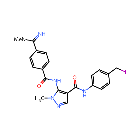 CNC(=N)c1ccc(C(=O)Nc2c(C(=O)Nc3ccc(CI)cc3)cnn2C)cc1